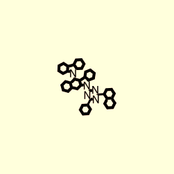 c1ccc(-c2nc(-c3cccc4ccccc34)nc(-n3c4ccccc4c4c(-n5c6ccccc6c6ccccc65)c5ccccc5cc43)n2)cc1